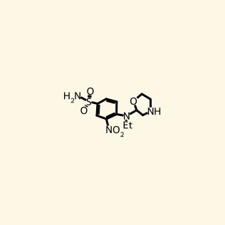 CCN(c1ccc(S(N)(=O)=O)cc1[N+](=O)[O-])C1CNCCO1